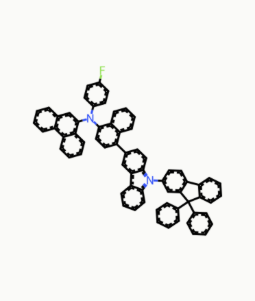 Fc1ccc(N(c2ccc(-c3ccc4c(c3)c3ccccc3n4-c3ccc4c(c3)C(c3ccccc3)(c3ccccc3)c3ccccc3-4)c3ccccc23)c2cc3ccccc3c3ccccc23)cc1